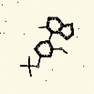 COc1cc(OC(C)(C)C)ccc1-c1c(C)ccc2nccn12